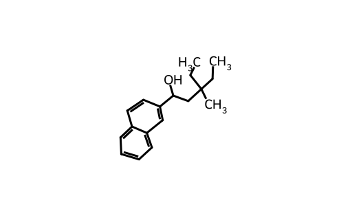 CCC(C)(CC)CC(O)c1ccc2ccccc2c1